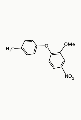 COc1cc([N+](=O)[O-])ccc1Oc1ccc(C)cc1